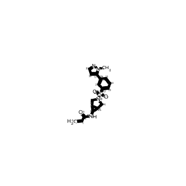 C=CC(=O)NC1C2CN(S(=O)(=O)c3cccc(-c4ccnn4C)c3)CC21